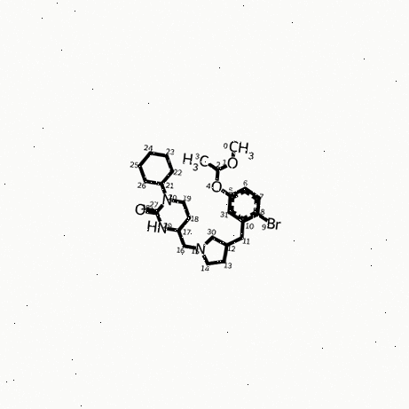 COC(C)Oc1ccc(Br)c(CC2CCN(CC3CCN(C4CCCCC4)C(=O)N3)C2)c1